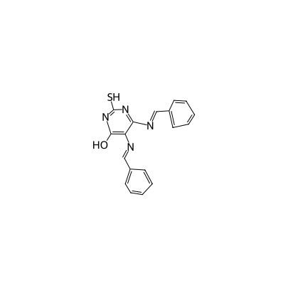 Oc1nc(S)nc(/N=C/c2ccccc2)c1/N=C/c1ccccc1